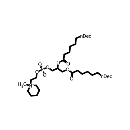 CCCCCCCCCCCCCCCC(=O)OCC(COP(=O)([O-])OCC[N+]1(C)CCCCC1)OC(=O)CCCCCCCCCCCCCCC